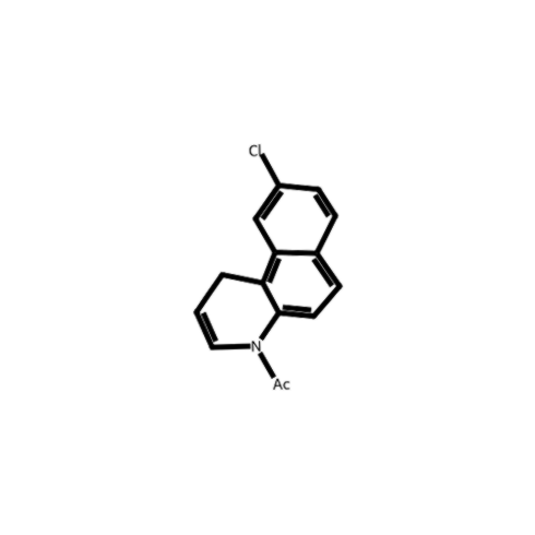 CC(=O)N1C=CCc2c1ccc1ccc(Cl)cc21